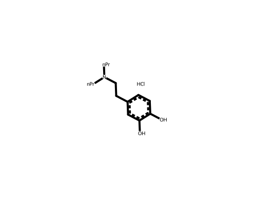 CCCN(CCC)CCc1ccc(O)c(O)c1.Cl